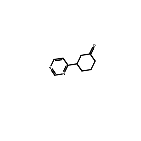 O=C1CCCC(c2ccncn2)C1